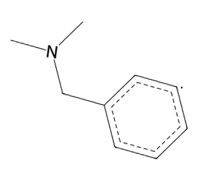 CN(C)Cc1c[c]ccc1